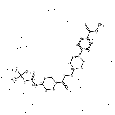 COC(=O)c1ccc(N2CCN(CCC(=O)N3CCC(NC(=O)OC(C)(C)C)CC3)CC2)cn1